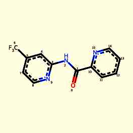 O=C(Nc1cc(C(F)(F)F)ccn1)c1ccccn1